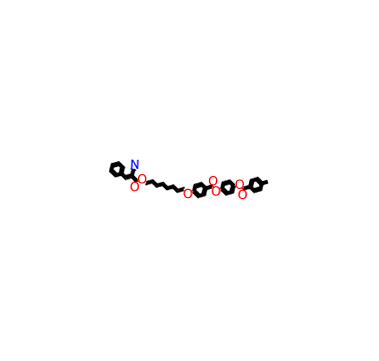 Cc1ccc(C(=O)Oc2ccc(OC(=O)c3ccc(OCCCCCCCCOC(=O)C(C#N)=Cc4ccccc4)cc3)cc2)cc1